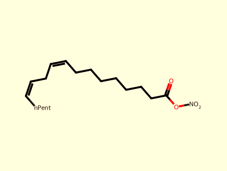 CCCCC/C=C\C/C=C\CCCCCCCC(=O)O[N+](=O)[O-]